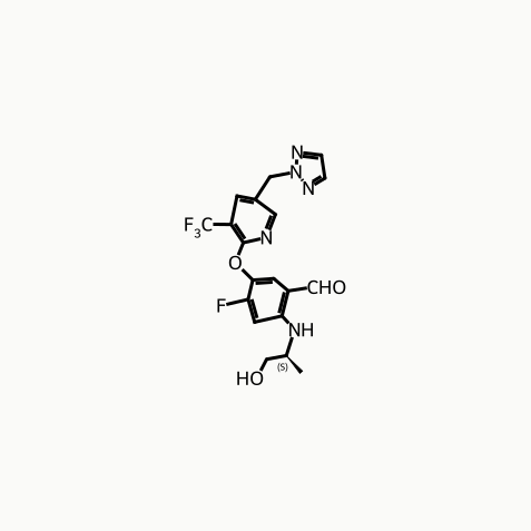 C[C@@H](CO)Nc1cc(F)c(Oc2ncc(Cn3nccn3)cc2C(F)(F)F)cc1C=O